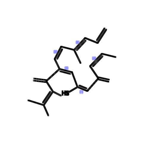 C=C/C=C(C)/C=C\C(=C\C(S)=C/C(=C)/C=C\C)C(=C)C(C)=C(C)C